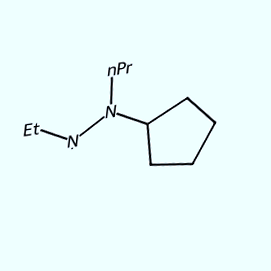 CCCN([N]CC)C1CCCC1